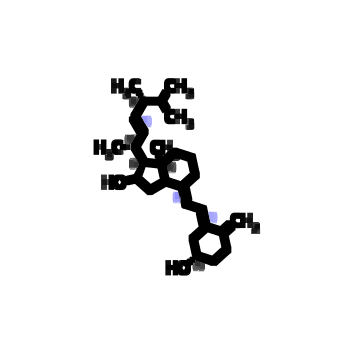 C=C1CC[C@H](O)C/C1=C\C=C1/CCC[C@]2(C)C1CC(O)[C@H]2[C@H](C)/C=C/[C@H](C)C(C)C